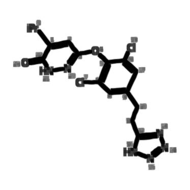 CC(C)c1cc(Oc2c(Cl)cc(CCc3nnn[nH]3)cc2Cl)n[nH]c1=O